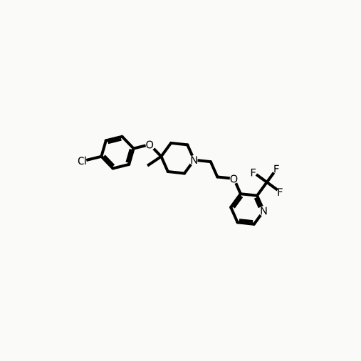 CC1(Oc2ccc(Cl)cc2)CCN(CCOc2cccnc2C(F)(F)F)CC1